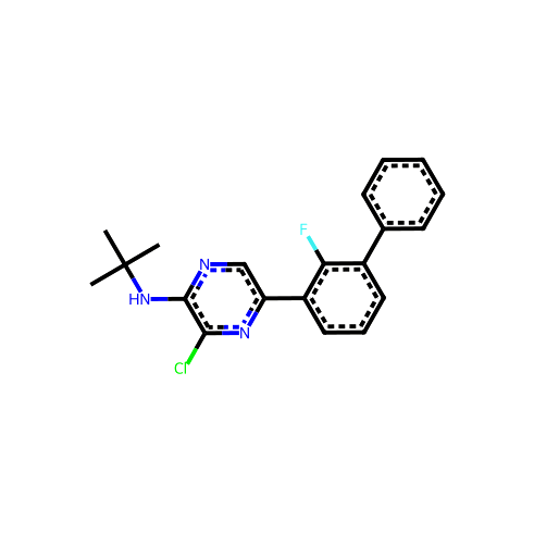 CC(C)(C)Nc1ncc(-c2cccc(-c3ccccc3)c2F)nc1Cl